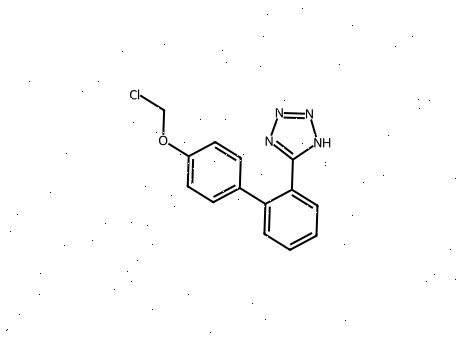 ClCOc1ccc(-c2ccccc2-c2nnn[nH]2)cc1